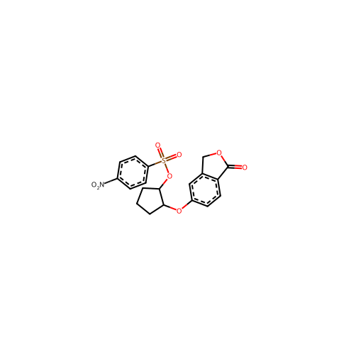 O=C1OCc2cc(OC3CCCC3OS(=O)(=O)c3ccc([N+](=O)[O-])cc3)ccc21